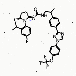 CC(C)c1cc(F)ccc1N1C(=O)CS/C1=N\C(=O)NCC(C)c1ccc(-c2ncn(-c3ccc(OC(F)(F)F)cc3)n2)cc1